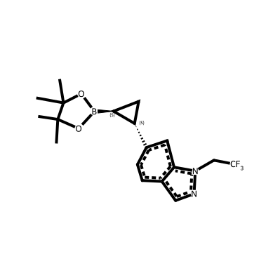 CC1(C)OB([C@H]2C[C@@H]2c2ccc3cnn(CC(F)(F)F)c3c2)OC1(C)C